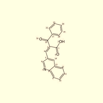 O=C(O)C(=Cc1cnc2ccccc2c1)C(=O)c1ccccc1